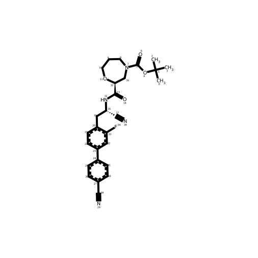 CC(C)(C)OC(=O)N1CCCO[C@H](C(=O)N[C@H](C#N)Cc2ccc(-c3ccc(C#N)cc3)cc2F)C1